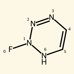 FN1N=NC=CN1